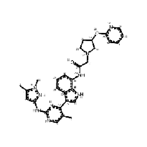 Cc1cnc(Nc2cc(C)n(C)n2)nc1-c1c[nH]c2c(NC(=O)CN3CCC(Oc4ccccn4)C3)cccc12